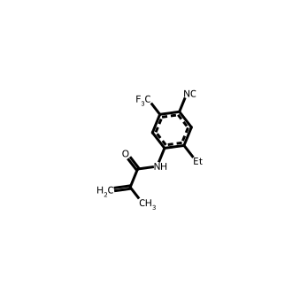 [C-]#[N+]c1cc(CC)c(NC(=O)C(=C)C)cc1C(F)(F)F